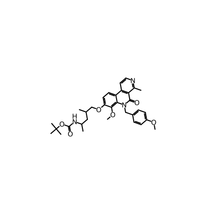 COc1ccc(Cn2c(=O)c3c(C)nccc3c3ccc(OCC(C)CC(C)NC(=O)OC(C)(C)C)c(OC)c32)cc1